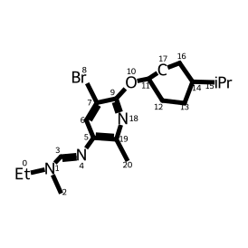 CCN(C)C=Nc1cc(Br)c(OC2CCC(C(C)C)CC2)nc1C